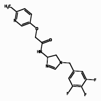 Cc1ccc(OCC(=O)NC2CN(Cc3cc(F)c(F)c(F)c3)C=N2)cn1